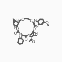 COc1ccc2nc3c(nc2c1)O[C@H]1CN(C(=O)[C@H](C2CCCCC2)NC(=O)O[C@@H]2CC4CC4[C@H]2CCCCC3)[C@H](C(C)=O)[C@@H]1C